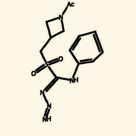 CC(=O)N1CC(CS(=O)(=O)/C(=N/N=N)Nc2ccccc2)C1